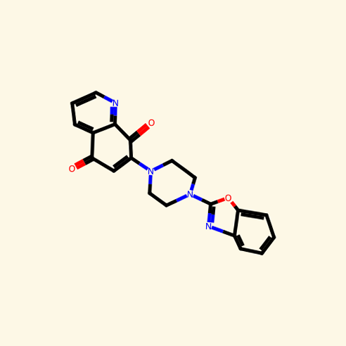 O=C1C=C(N2CCN(c3nc4ccccc4o3)CC2)C(=O)c2ncccc21